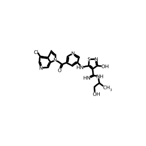 CC(CO)NC(=N)c1c(O)nsc1Nc1cncc(C(=O)n2ccc3c(Cl)cncc32)c1